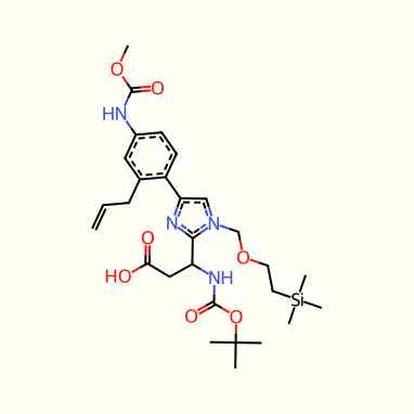 C=CCc1cc(NC(=O)OC)ccc1-c1cn(COCC[Si](C)(C)C)c(C(CC(=O)O)NC(=O)OC(C)(C)C)n1